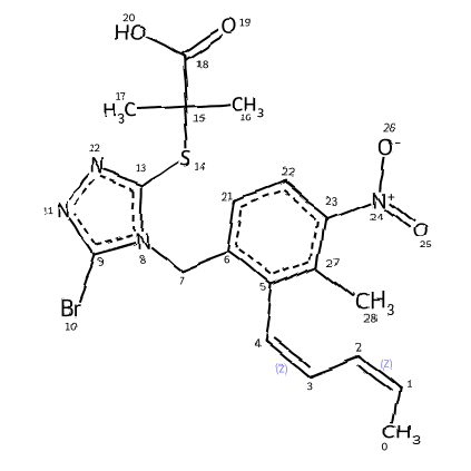 C/C=C\C=C/c1c(Cn2c(Br)nnc2SC(C)(C)C(=O)O)ccc([N+](=O)[O-])c1C